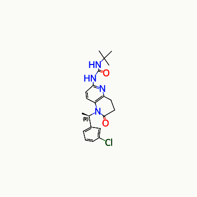 C[C@H](c1cccc(Cl)c1)N1C(=O)CCc2nc(NC(=O)NC(C)(C)C)ccc21